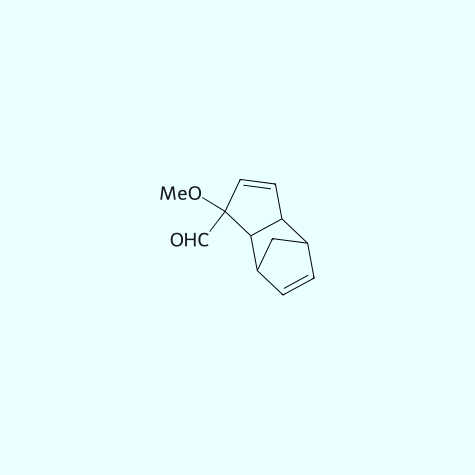 COC1(C=O)C=CC2C3C=CC(C3)C21